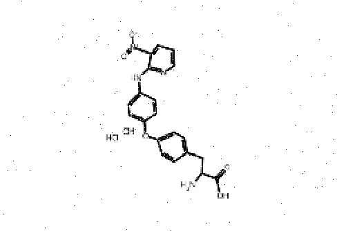 Cl.Cl.NC(Cc1ccc(Oc2ccc(Nc3ncccc3[N+](=O)[O-])cc2)cc1)C(=O)O